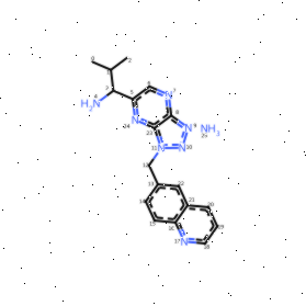 CC(C)C(N)c1cnc2nnn(Cc3ccc4ncccc4c3)c2n1.N